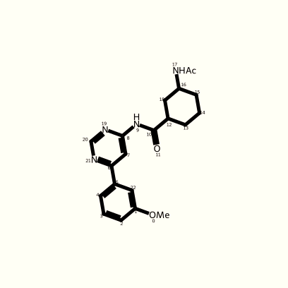 COc1cccc(-c2cc(NC(=O)C3CCCC(NC(C)=O)C3)ncn2)c1